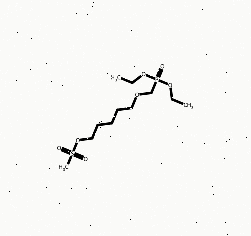 CCOP(=O)(COCCCCCOS(C)(=O)=O)OCC